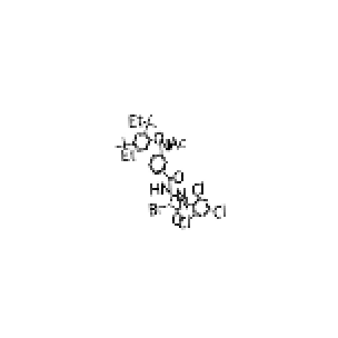 CCC(C)(C)c1ccc(ON(C(C)=O)c2cccc(C(=O)NC3=NN(c4c(Cl)cc(Cl)cc4Cl)C(=O)C3Br)c2)c(C(C)(C)CC)c1